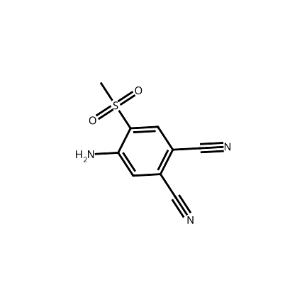 CS(=O)(=O)c1cc(C#N)c(C#N)cc1N